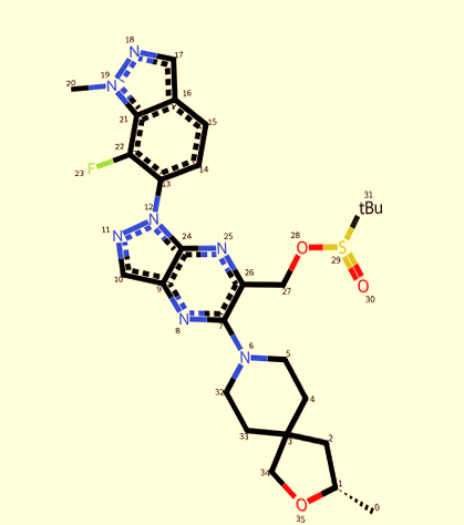 C[C@H]1CC2(CCN(c3nc4cnn(-c5ccc6cnn(C)c6c5F)c4nc3COS(=O)C(C)(C)C)CC2)CO1